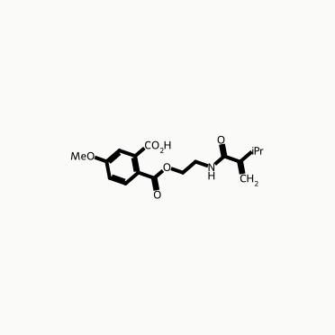 C=C(C(=O)NCCOC(=O)c1ccc(OC)cc1C(=O)O)C(C)C